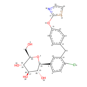 OC[C@H]1O[C@@H](c2ccc(Cl)c(Cc3ccc(Oc4nccs4)cc3)c2)[C@H](O)[C@@H](O)[C@@H]1O